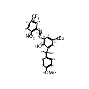 COc1ccc(C(C)(C)c2cc(C(C)(C)C)cc(/N=N/c3cc(C(F)(F)F)ccc3[N+](=O)[O-])c2O)cc1